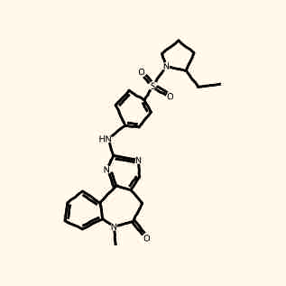 CCC1CCCN1S(=O)(=O)c1ccc(Nc2ncc3c(n2)-c2ccccc2N(C)C(=O)C3)cc1